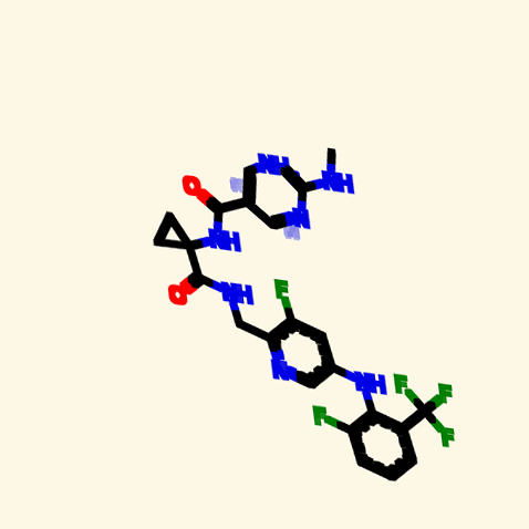 C=C(/N=C\C(=C/N)C(=O)NC1(C(=O)NCc2ncc(Nc3c(F)cccc3C(F)(F)F)cc2F)CC1)NC